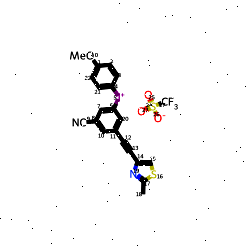 COc1ccc([I+]c2cc(C#N)cc(C#Cc3csc(C)n3)c2)cc1.O=S(=O)([O-])C(F)(F)F